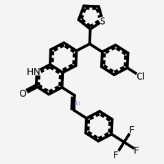 O=c1cc(/C=C/c2ccc(C(F)(F)F)cc2)c2cc(C(c3ccc(Cl)cc3)c3cccs3)ccc2[nH]1